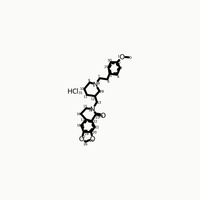 COc1ccc(CCN2CCCC(CN3CCc4cc5c(cc4C3=O)OCO5)C2)cc1.Cl